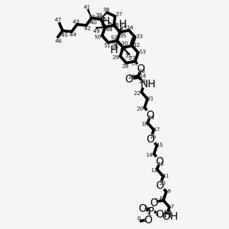 COP(=O)(O)OC(CO)COCCOCCOCCOCCCNC(=O)O[C@H]1CC[C@@]2(C)C(=CC[C@H]3[C@@H]4CC[C@H]([C@H](C)CCCC(C)C)[C@@]4(C)CC[C@@H]32)C1